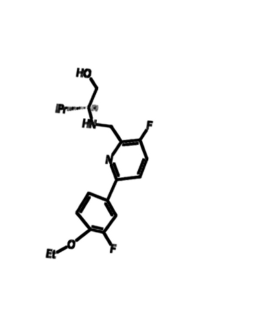 CCOc1ccc(-c2ccc(F)c(CN[C@@H](CO)C(C)C)n2)cc1F